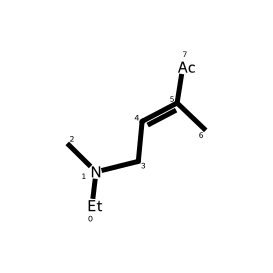 CCN(C)C/C=C(\C)C(C)=O